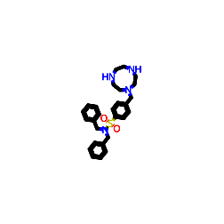 O=S(=O)(c1ccc(CN2CCNCCNCC2)cc1)N(Cc1ccccc1)Cc1ccccc1